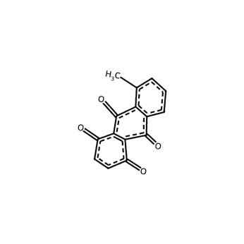 Cc1cccc2c(=O)c3c(=O)ccc(=O)c=3c(=O)c12